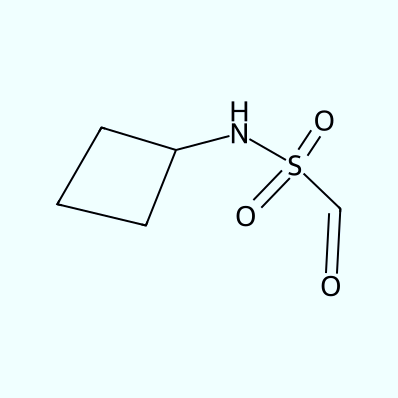 O=CS(=O)(=O)NC1CCC1